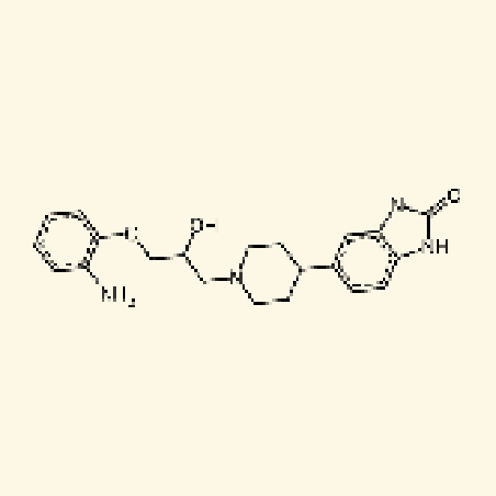 Nc1ccccc1OCC(O)CN1CCC(c2ccc3c(c2)[N]C(=O)N3)CC1